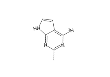 [2H]c1nc(C)nc2[nH]ccc12